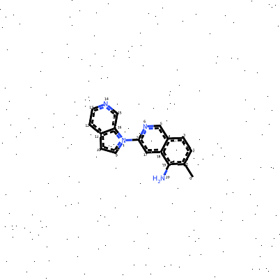 Cc1ccc2cnc(-n3ccc4ccncc43)cc2c1N